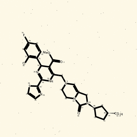 COC(=O)C1=C(CN2C=C3CN([C@@H]4CC[C@@H](C(=O)O)C4)C(=O)N3CC2)NC(c2nccs2)=NC1c1ccc(F)cc1Cl